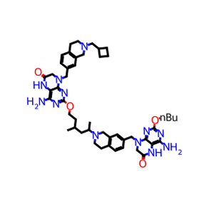 CCCCOc1nc(N)c2c(n1)N(Cc1ccc3c(c1)CN(C(C)CC(C)CCOc1nc(N)c4c(n1)N(Cc1ccc5c(c1)CN(CC1CCC1)CC5)CC(=O)N4)CC3)CC(=O)N2